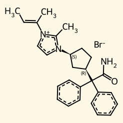 CC=C(C)[n+]1ccn([C@H]2CC[C@@H](C(C(N)=O)(c3ccccc3)c3ccccc3)C2)c1C.[Br-]